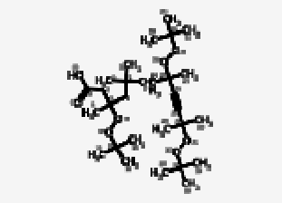 CC(C)(C)CC(C)(CC(=O)O)OOC(C)(C)C.CC(C)(C)OOC(C)(C)C#CC(C)(C)OOC(C)(C)C